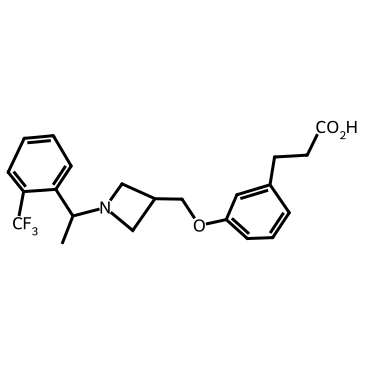 CC(c1ccccc1C(F)(F)F)N1CC(COc2cccc(CCC(=O)O)c2)C1